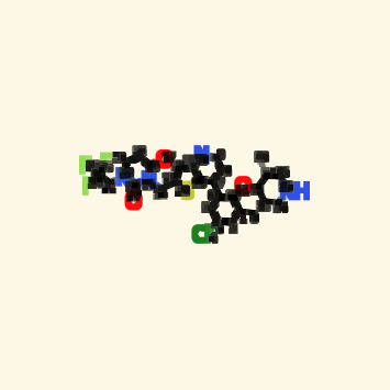 Cc1cc(Cl)cc(-c2ccnc3cc(Cn4c(=O)ccn(CC(F)(F)F)c4=O)sc23)c1O[C@H]1CCNC[C@H]1C